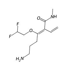 C=C/C(C(=O)NC)=C(\CCCN)OCC(F)F